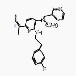 C/C=C(/C)c1ccc(N(C=O)Cc2cccnc2)c(NCCc2cccc(F)c2)n1